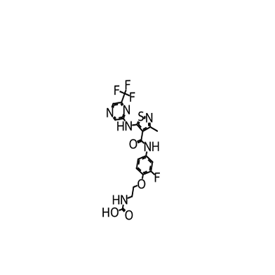 Cc1nsc(Nc2cncc(C(F)(F)F)n2)c1C(=O)Nc1ccc(OCCNC(=O)O)c(F)c1